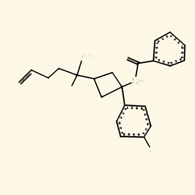 C=CCCC(C)(C1CC(NC(=O)c2ccccc2)(c2ccc(Cl)cc2)C1)C(C)(C)C